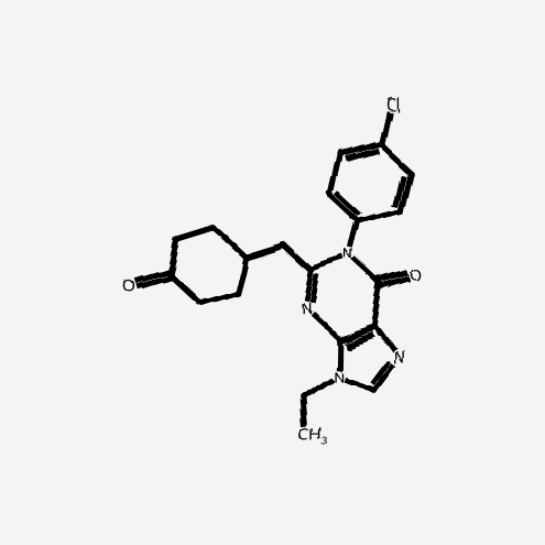 CCn1cnc2c(=O)n(-c3ccc(Cl)cc3)c(CC3CCC(=O)CC3)nc21